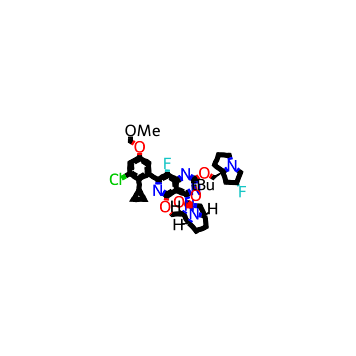 COCOc1cc(Cl)c(C2CC2)c(-c2nc3c4c(nc(OC[C@@]56CCCN5C[C@@H](F)C6)nc4c2F)N2C[C@H]4CC[C@@H]([C@H]2CO3)N4C(=O)OC(C)(C)C)c1